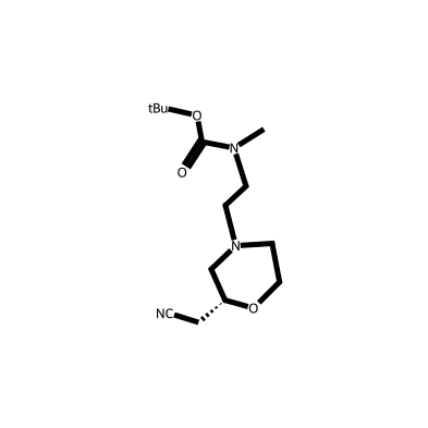 CN(CCN1CCO[C@H](CC#N)C1)C(=O)OC(C)(C)C